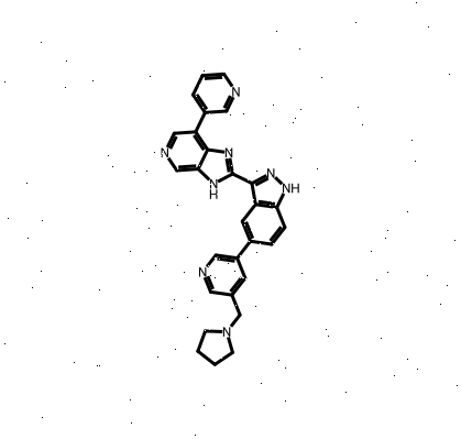 c1cncc(-c2cncc3[nH]c(-c4n[nH]c5ccc(-c6cncc(CN7CCCC7)c6)cc45)nc23)c1